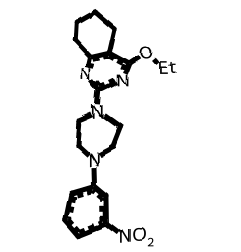 CCOc1nc(N2CCN(c3cccc([N+](=O)[O-])c3)CC2)nc2c1CCCC2